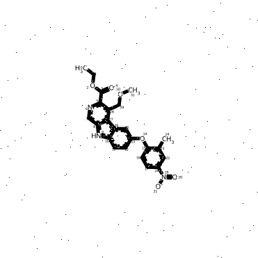 CCOC(=O)c1ncc2[nH]c3ccc(Oc4ccc([N+](=O)[O-])cc4C)cc3c2c1COC